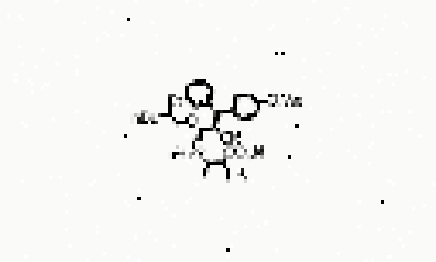 CCCCC(CC)COC(=O)C(C#N)=C(c1ccccc1)c1ccc(OC)cc1.CCCCCCC(C)=C(CCC)C(=O)O